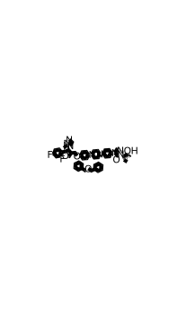 CC[C@@H]([C@H](C)O)n1ncn(-c2ccc(N3CCN(c4ccc(OCC5CO[C@@](Cn6cncn6)(c6ccc(F)cc6F)C5)cc4)CC3)cc2)c1=O.c1ccc(COCc2ccccc2)cc1